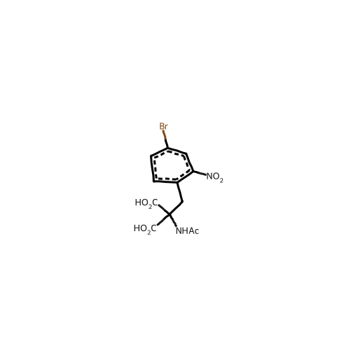 CC(=O)NC(Cc1ccc(Br)cc1[N+](=O)[O-])(C(=O)O)C(=O)O